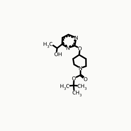 CC(O)c1ccnc(OC2CCN(C(=O)OC(C)(C)C)CC2)n1